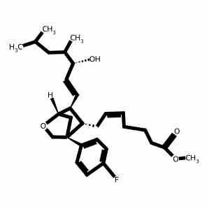 COC(=O)CCC/C=C\C[C@H]1[C@H](/C=C/[C@@H](O)C(C)CC(C)C)[C@@H]2C[C@@]1(c1ccc(F)cc1)CO2